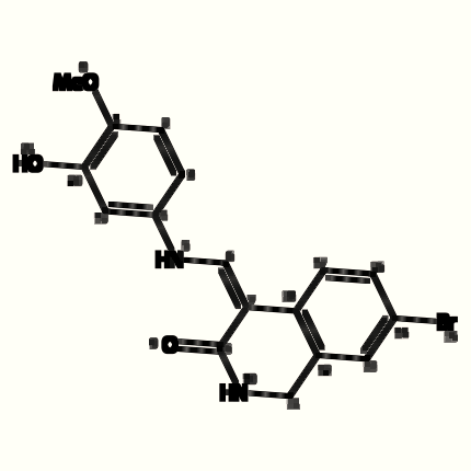 COc1ccc(NC=C2C(=O)NCc3cc(Br)ccc32)cc1O